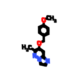 COc1ccc(COc2cc3nccn3nc2C)cc1